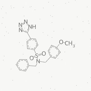 COc1ccc(CN(Cc2ccccc2)S(=O)(=O)c2ccc(-c3nnn[nH]3)cc2)cc1